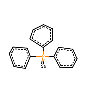 [Se]=P(c1ccccc1)(c1ccccc1)c1ccccc1